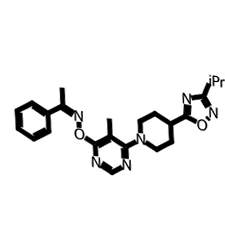 CC(=NOc1ncnc(N2CCC(c3nc(C(C)C)no3)CC2)c1C)c1ccccc1